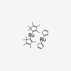 C1=CC[C]([Ru][C]2=CC=CC2)=C1.CC1=C(C)C(C)(C)[C]([Ru][C]2=C(C)C(C)=C(C)C2(C)C)=C1C